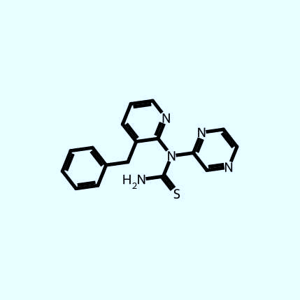 NC(=S)N(c1cnccn1)c1ncccc1Cc1ccccc1